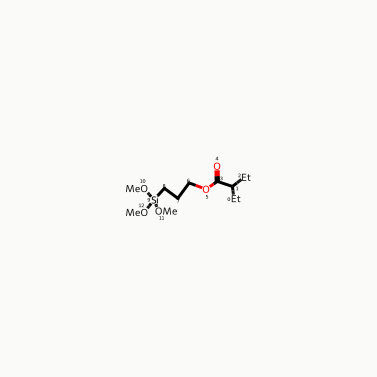 CCC(CC)C(=O)OCCC[Si](OC)(OC)OC